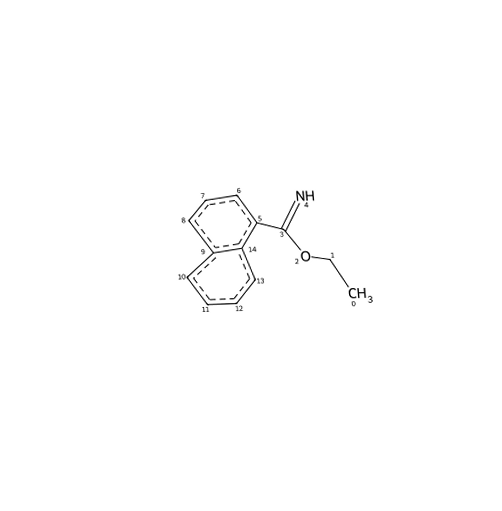 CCOC(=N)c1cccc2ccccc12